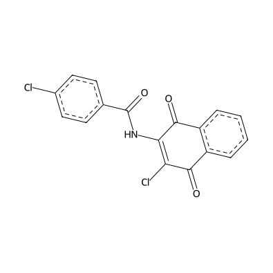 O=C(NC1=C(Cl)C(=O)c2ccccc2C1=O)c1ccc(Cl)cc1